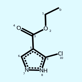 CCOC(=O)c1cn[nH]c1Cl